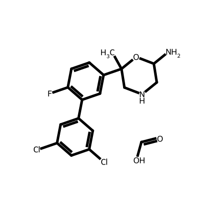 CC1(c2ccc(F)c(-c3cc(Cl)cc(Cl)c3)c2)CNCC(N)O1.O=CO